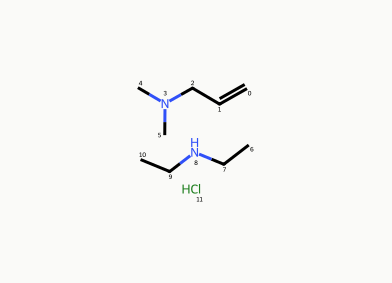 C=CCN(C)C.CCNCC.Cl